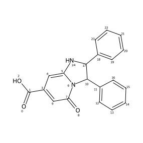 O=C(O)c1cc2n(c(=O)c1)C(c1ccccc1)C(c1ccccc1)N2